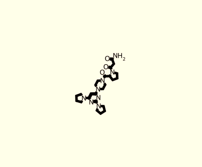 NC(=O)CC(=O)N1CCCC1C(=O)N1CCN(c2cc(N3CCCC3)nc(N3CCCC3)n2)CC1